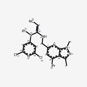 Cc1nn(C)c2nc(CN/C(=C/C#N)N(c3cc(Cl)nc(Cl)c3)C(C)C)cc(C(C)C)c12